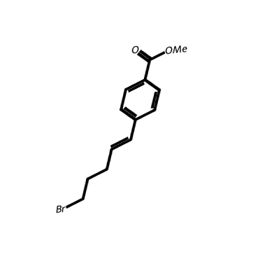 COC(=O)c1ccc(/C=C/CCCBr)cc1